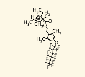 CCC(C)C(C)(CC(C)(C)CC)C(=O)OCCc1c(C)cc(OC(F)(F)C(F)(F)C(F)(F)C(F)(F)C(F)(F)C(F)(F)F)cc1C